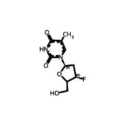 Cc1cn([C@H]2C[C@@H](F)C(CO)O2)c(=O)[nH]c1=O